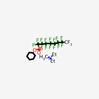 CCN(C)CC.O=S(=O)(OC1CCCCC1)C(F)(F)C(F)(F)C(F)(F)C(F)(F)C(F)(F)C(F)(F)C(F)(F)C(F)(F)F